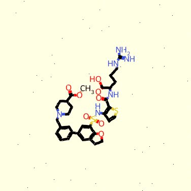 COC(=O)C1CCN(Cc2cccc(-c3cc4c(c(S(=O)(=O)Nc5ccsc5C(=O)NC(CCCNC(=N)N)C(=O)O)c3)OCC4)c2)CC1